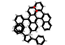 c1ccc(-c2ccc3ccccc3c2-c2c3ccccc3c(-c3cccc4ccccc34)c3cc(-n4c(-c5ccccc5)ccc4-c4ccccc4)ccc23)cc1